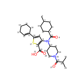 CC1CCC(C(=O)N(c2cc(C3=CCCCC3)sc2C(=O)O)C2CCN(C(=O)C(C)C)CC2)CC1